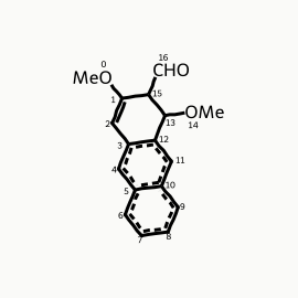 COC1=Cc2cc3ccccc3cc2C(OC)C1C=O